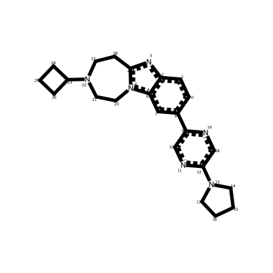 c1cc2nc3n(c2cc1-c1cnc(N2CCCC2)cn1)CCN(C1CCC1)CC3